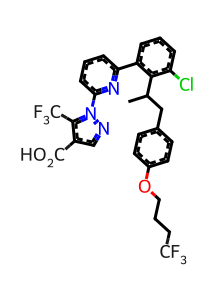 CC(Cc1ccc(OCCCC(F)(F)F)cc1)c1c(Cl)cccc1-c1cccc(-n2ncc(C(=O)O)c2C(F)(F)F)n1